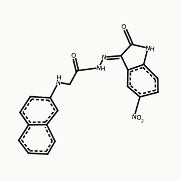 O=C(CNc1ccc2ccccc2c1)N/N=C1/C(=O)Nc2ccc([N+](=O)[O-])cc21